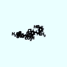 CP(CCc1cc(Cl)c(C(=O)NC(CC2CCN(S(C)(=O)=O)C2)C(=O)O)c(Cl)c1)c1cccc(O)c1